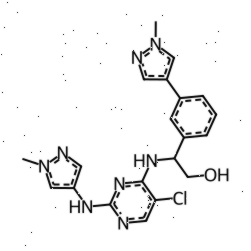 Cn1cc(Nc2ncc(Cl)c(NC(CO)c3cccc(-c4cnn(C)c4)c3)n2)cn1